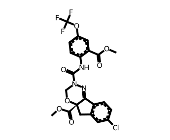 COC(=O)c1cc(OC(F)(F)F)ccc1NC(=O)N1CO[C@@]2(C(=O)OC)Cc3cc(Cl)ccc3C2=N1